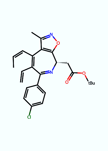 C=CC1=C(/C=C\C)c2c(C)noc2[C@H](CC(=O)OC(C)(C)C)N=C1c1ccc(Cl)cc1